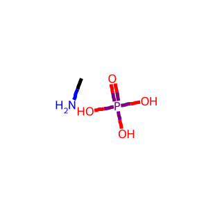 CN.O=P(O)(O)O